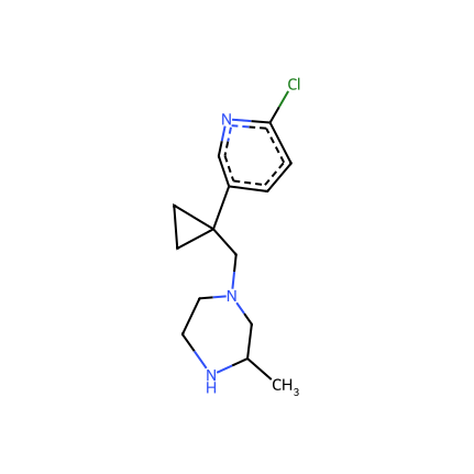 CC1CN(CC2(c3ccc(Cl)nc3)CC2)CCN1